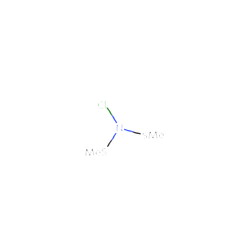 CSN(Cl)SC